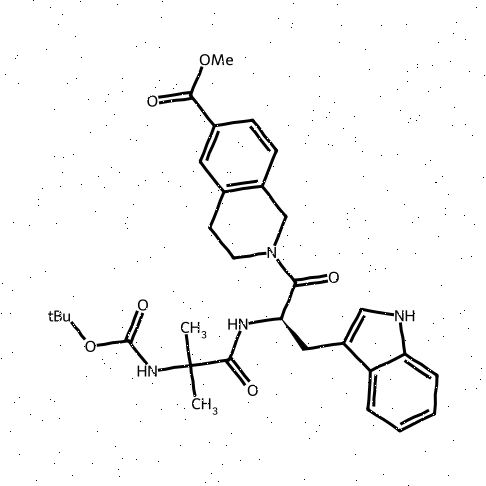 COC(=O)c1ccc2c(c1)CCN(C(=O)[C@@H](Cc1c[nH]c3ccccc13)NC(=O)C(C)(C)NC(=O)OC(C)(C)C)C2